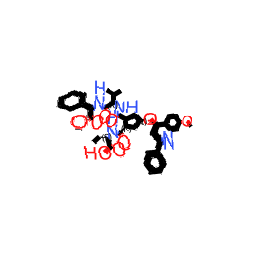 CC[C@H](NC(=O)[C@@H]1C[C@@H](Oc2cc(-c3ccccc3)nc3cc(OC)ccc23)C=C1C(=O)N[C@@H](C(=O)NC(C(=O)OC)C1CCCCC1)C(C)C)C(=O)O